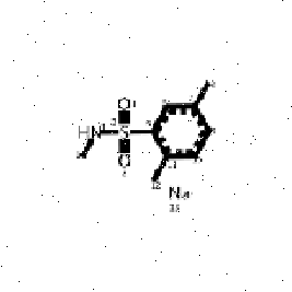 CNS(=O)(=O)c1cc(C)ccc1C.[Na]